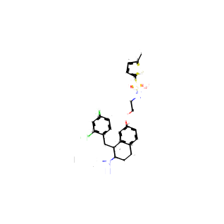 CCOC(=O)NC1CCc2ccc(OCCNS(=O)(=O)c3ccc(C)s3)cc2C1Cc1ccc(Cl)cc1Cl